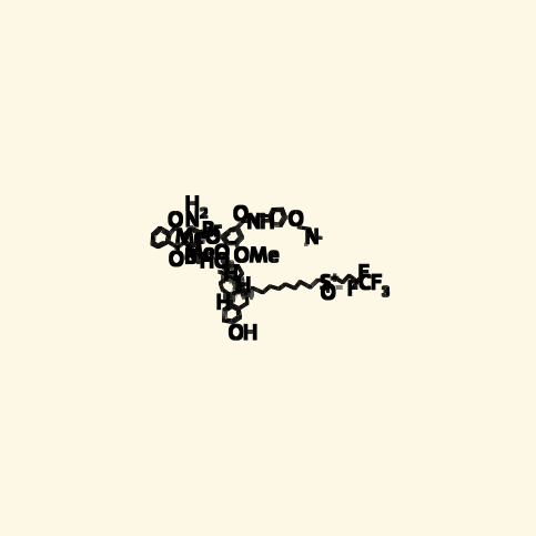 COc1cc(C(=O)NCc2ccc(OCCN(C)C)cc2)cc(OC)c1OC.C[C@]12CC[C@@H]3c4ccc(O)cc4C[C@@H](CCCCCCCCC[S+]([O-])CCCC(F)(F)C(F)(F)F)[C@H]3[C@@H]1CC[C@@H]2O.Nc1c(Br)cc(Br)c2c1C(=O)c1ccccc1C2=O